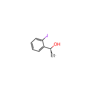 C[CH][C@H](O)c1ccccc1I